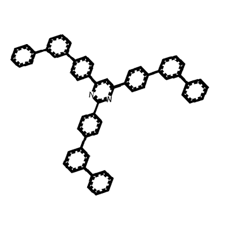 c1ccc(-c2cccc(-c3ccc(-c4cc(-c5ccc(-c6cccc(-c7ccccc7)c6)cc5)nc(-c5ccc(-c6cccc(-c7ccccc7)c6)cc5)n4)cc3)c2)cc1